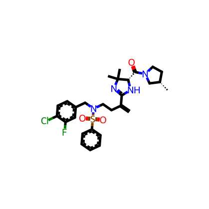 C=C(CCN(Cc1ccc(Cl)c(F)c1)S(=O)(=O)c1ccccc1)C1=NC(C)(C)[C@H](C(=O)N2CC[C@H](C)C2)N1